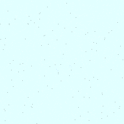 NC1=Nc2ccccc2C1(O)c1cccc(F)c1